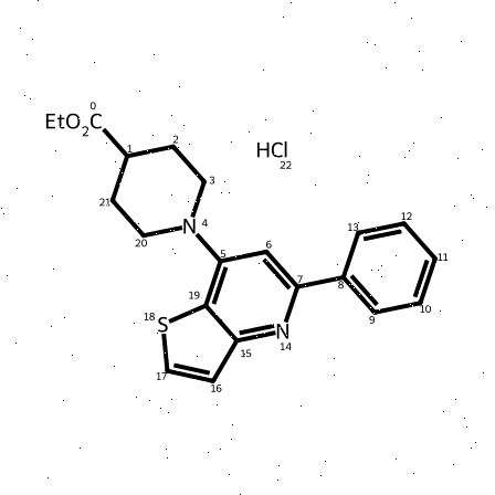 CCOC(=O)C1CCN(c2cc(-c3ccccc3)nc3ccsc23)CC1.Cl